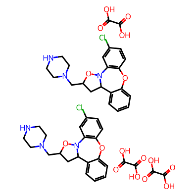 Clc1ccc2c(c1)N1OC(CN3CCNCC3)CC1c1ccccc1O2.Clc1ccc2c(c1)N1OC(CN3CCNCC3)CC1c1ccccc1O2.O=C(O)C(=O)O.O=C(O)C(=O)O.O=C(O)C(=O)O